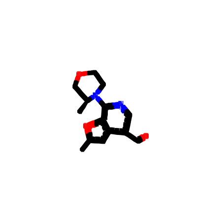 Cc1cc2c(C=O)cnc(N3CCOC[C@@H]3C)c2o1